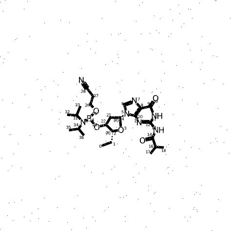 CC[C@H]1O[C@@H](n2cnc3c(=O)[nH]c(NC(=O)C(C)C)nc32)CC1OP(OCCC#N)N(C(C)C)C(C)C